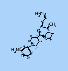 C=C(/C=C\C=C/C)[C@@H]1CC=NN1C(=O)C1CCN(c2cc(N)ncn2)CC1